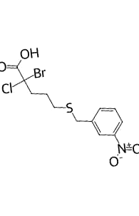 O=C(O)C(Cl)(Br)CCCSCc1cccc([N+](=O)[O-])c1